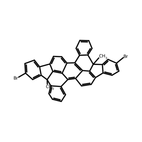 CC12c3cc(Br)ccc3-c3ccc4c5c6c7c(ccc6c(c4c31)-c1ccccc12)-c1ccc(Br)cc1C7(C)c1ccccc1-5